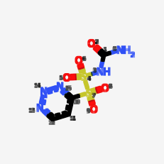 NC(=O)NS(=O)(=O)S(=O)(=O)c1ccnnn1